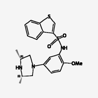 COc1ccc(N2C[C@@H](C)N[C@@H](C)C2)cc1NS(=O)(=O)c1csc2ccccc12